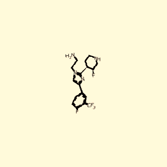 NCCn1cc(-c2ccc(F)c(C(F)(F)F)c2)nc1[C@H]1CCNC[C@H]1F